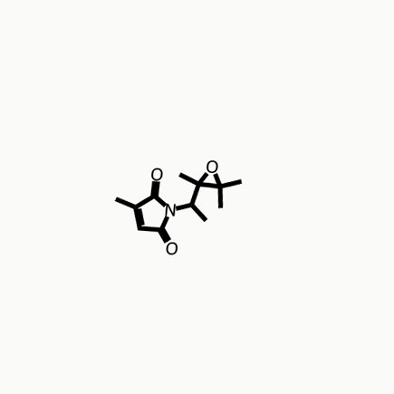 CC1=CC(=O)N(C(C)C2(C)OC2(C)C)C1=O